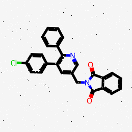 O=C1c2ccccc2C(=O)N1Cc1cnc(-c2ccccc2)c(-c2ccc(Cl)cc2)c1